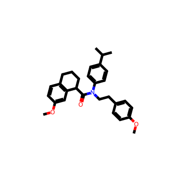 COc1ccc(CCN(C(=O)C2CCCc3ccc(OC)cc32)c2ccc(C(C)C)cc2)cc1